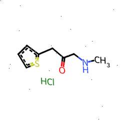 CNCC(=O)Cc1cccs1.Cl